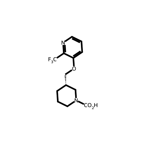 O=C(O)N1CCC[C@H](COc2cccnc2C(F)(F)F)C1